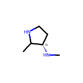 CN[C@H]1CCNC1C